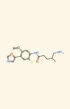 COc1cc(NC(=O)CCC(C)CN)c(F)cc1-c1cnco1